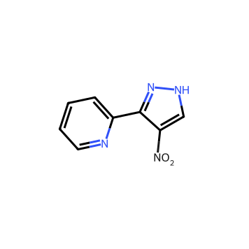 O=[N+]([O-])c1c[nH]nc1-c1ccccn1